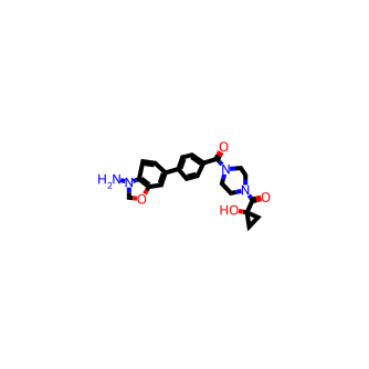 NN1COc2cc(-c3ccc(C(=O)N4CCN(C(=O)C5(O)CC5)CC4)cc3)ccc21